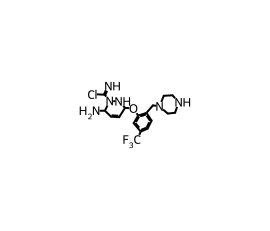 N=C(Cl)N1NC(Oc2cc(C(F)(F)F)ccc2CN2CCNCC2)C=CC1N